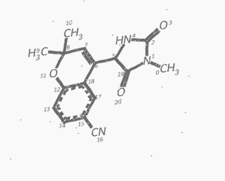 CN1C(=O)NC(C2=CC(C)(C)Oc3ccc(C#N)cc32)C1=O